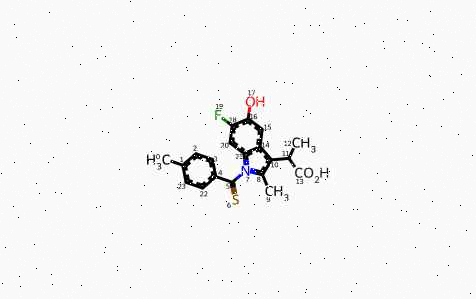 Cc1ccc(C(=S)n2c(C)c(C(C)C(=O)O)c3cc(O)c(F)cc32)cc1